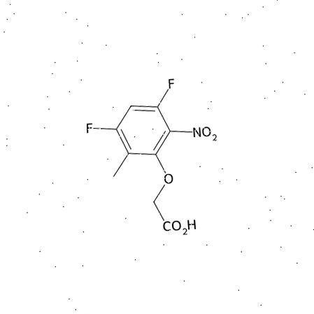 Cc1c(F)cc(F)c([N+](=O)[O-])c1OCC(=O)O